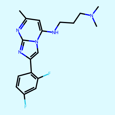 Cc1cc(NCCCN(C)C)n2cc(-c3ccc(F)cc3F)nc2n1